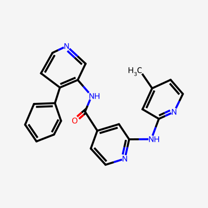 Cc1ccnc(Nc2cc(C(=O)Nc3cnccc3-c3ccccc3)ccn2)c1